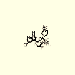 CC(=O)N1CCCN(C(=O)[C@H](C)Nc2nc(-c3c[nH]c4ncc(Cl)cc34)ncc2F)CC1